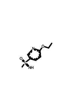 CCOc1ccc(S(C)(=N)=O)cn1